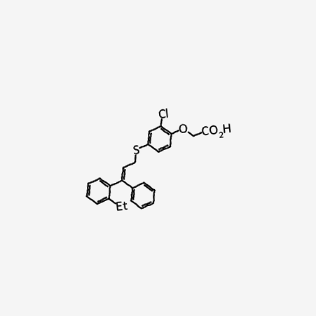 CCc1ccccc1C(=CCSc1ccc(OCC(=O)O)c(Cl)c1)c1ccccc1